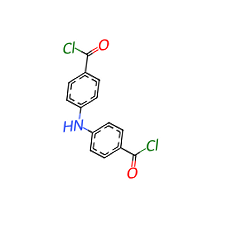 O=C(Cl)c1ccc(Nc2ccc(C(=O)Cl)cc2)cc1